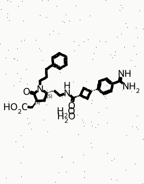 N=C(N)c1ccc([C@H]2C[C@H](C(=O)NCC[C@@H]3C[C@@H](CC(=O)O)C(=O)N3CCCc3ccccc3)C2)cc1.O.O